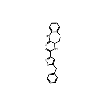 O=C(NC1CSc2ccccc2NC1=O)c1cc(Cc2ccccc2)on1